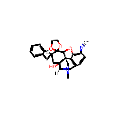 [C-]#[N+]c1ccc2c3c1OC1C4(OCCO4)C4(Cc5ccccc5C4)CC4(O)[C@@H](C2)N(C)CC[C@]314